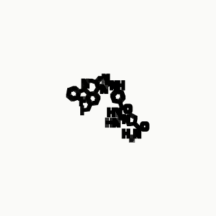 N=C(NC(=O)c1ccc(Nc2ncc3c(n2)-c2ccc(CI)cc2C(c2ccccc2F)=NC3)cc1)N1CCC(C(N)=O)C1